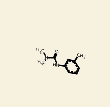 [CH2]c1cccc(NC(=O)N(C)C)c1